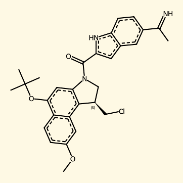 COc1ccc2c(OC(C)(C)C)cc3c(c2c1)[C@H](CCl)CN3C(=O)c1cc2cc(C(C)=N)ccc2[nH]1